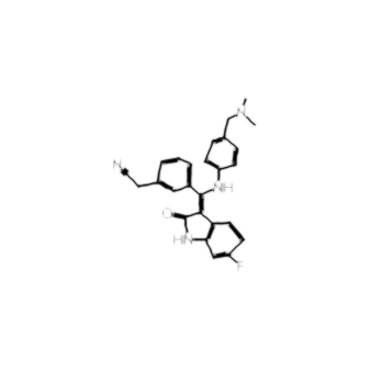 CN(C)Cc1ccc(NC(=C2C(=O)Nc3cc(F)ccc32)c2cccc(CC#N)c2)cc1